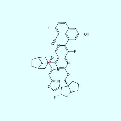 C#Cc1c(F)ccc2cc(O)cc(-c3ncc4c(N5CC6CCC(C5)N6C(=O)/C(F)=C/c5ncco5)nc(OC[C@@]56CCCN5C[C@H](F)C6)nc4c3F)c12